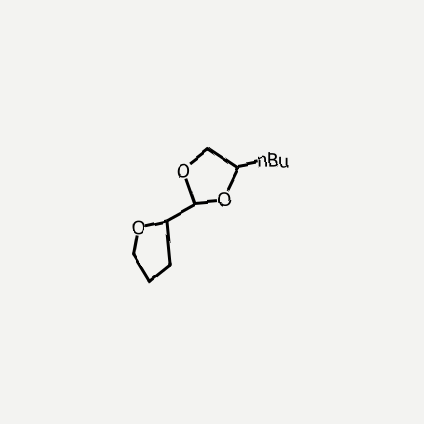 CCCCC1COC(C2CCCO2)O1